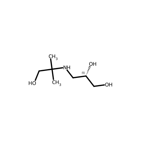 CC(C)(CO)NC[C@H](O)CO